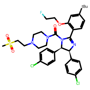 CC(C)(C)c1ccc(C2=N[C@@H](c3ccc(Cl)cc3)[C@@H](c3ccc(Cl)cc3)N2C(=O)N2CCN(CCS(C)(=O)=O)CC2)c(OCCF)c1